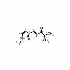 CC(C)C(=O)/C=C/c1cnn(C)c1